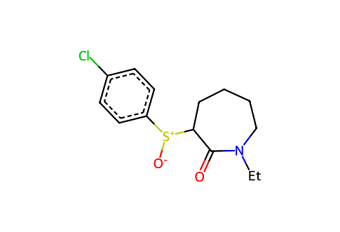 CCN1CCCCC([S+]([O-])c2ccc(Cl)cc2)C1=O